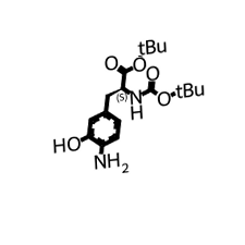 CC(C)(C)OC(=O)N[C@@H](Cc1ccc(N)c(O)c1)C(=O)OC(C)(C)C